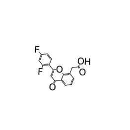 O=C(O)Cc1cccc2c(=O)cc(-c3ccc(F)cc3F)oc12